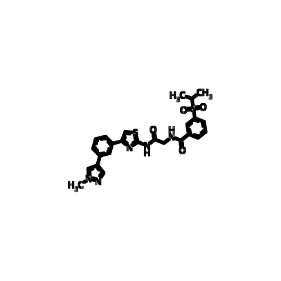 CC(C)S(=O)(=O)c1cccc(C(=O)NCC(=O)Nc2nc(-c3cccc(-c4cnn(C)c4)c3)cs2)c1